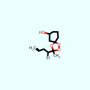 C=CCC(CC)C1(C)OOC2(CCCC(O)C2)O1